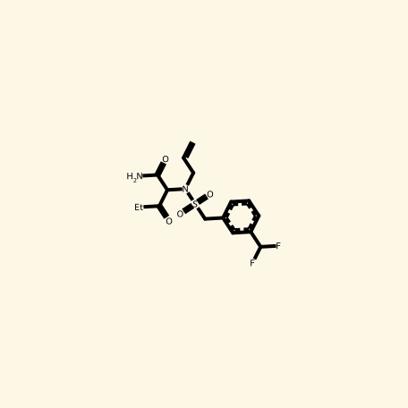 C=CCN(C(C(N)=O)C(=O)CC)S(=O)(=O)Cc1cccc(C(F)F)c1